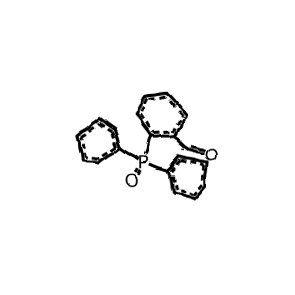 O=[C]c1ccccc1P(=O)(c1ccccc1)c1ccccc1